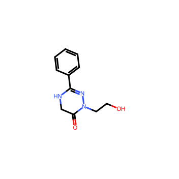 O=C1CNC(c2ccccc2)=NN1CCO